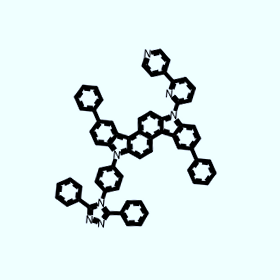 c1ccc(-c2ccc3c(c2)c2c4ccc5c(c4ccc2n3-c2ccc(-n3c(-c4ccccc4)nnc3-c3ccccc3)cc2)c2cc(-c3ccccc3)ccc2n5-c2cccc(-c3ccncc3)n2)cc1